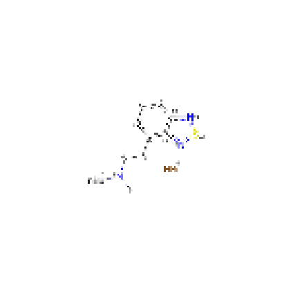 Br.CCCCN(C)CCc1cccc2nsnc12